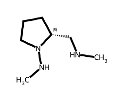 CNC[C@H]1CCCN1NC